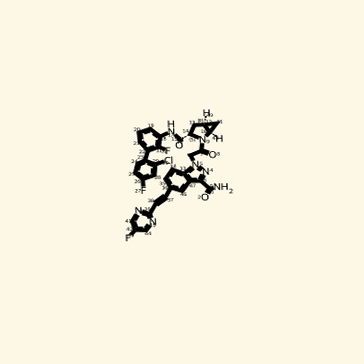 NC(=O)c1nn(CC(=O)N2[C@@H]3C[C@@H]3C[C@H]2C(=O)Nc2cccc(-c3ccc(F)cc3Cl)c2F)c2ccc(C#Cc3ncc(F)cn3)cc12